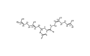 C=C(C)C[C](CC=C(C)CCC=C(C)CCC=C(C)C)C/C=C(\C)CCC=C(C)C